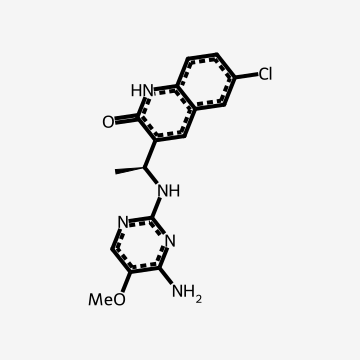 COc1cnc(N[C@@H](C)c2cc3cc(Cl)ccc3[nH]c2=O)nc1N